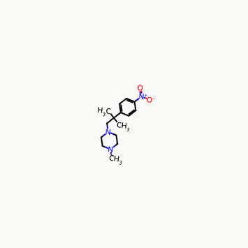 CN1CCN(CC(C)(C)c2ccc([N+](=O)[O-])cc2)CC1